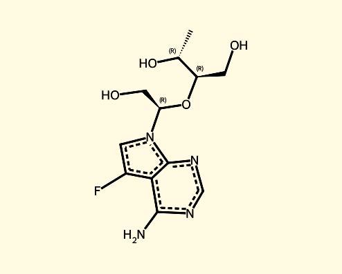 C[C@@H](O)[C@@H](CO)O[C@H](CO)n1cc(F)c2c(N)ncnc21